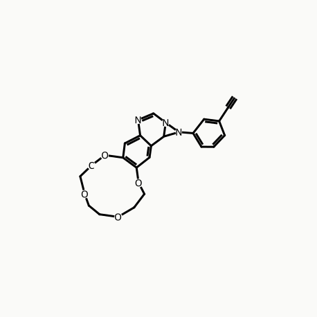 C#Cc1cccc(N2C3c4cc5c(cc4N=CN32)OCCOCCOCCO5)c1